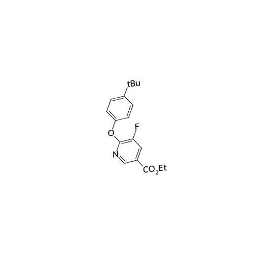 CCOC(=O)c1cnc(Oc2ccc(C(C)(C)C)cc2)c(F)c1